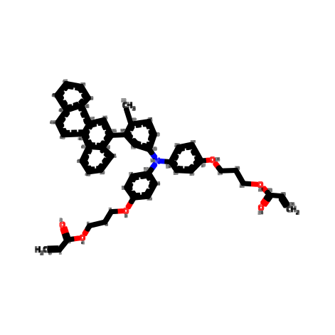 C=CC(=O)OCCCOc1ccc(N(c2ccc(OCCCOC(=O)C=C)cc2)c2ccc(C)c(-c3cc4c5ccccc5ccc4c4ccccc34)c2)cc1